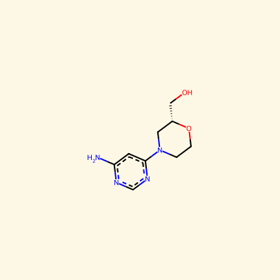 Nc1cc(N2CCO[C@@H](CO)C2)ncn1